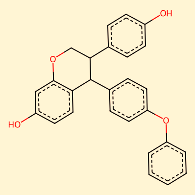 Oc1ccc(C2COc3cc(O)ccc3C2c2ccc(Oc3ccccc3)cc2)cc1